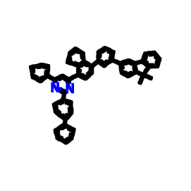 CC1(C)c2ccccc2-c2cc(-c3cccc(-c4ccc(-c5cc(-c6ccccc6)nc(-c6ccc(-c7ccccc7)cc6)n5)c5ccccc45)c3)ccc21